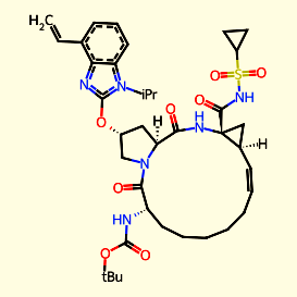 C=Cc1cccc2c1nc(O[C@@H]1C[C@H]3C(=O)N[C@]4(C(=O)NS(=O)(=O)C5CC5)C[C@H]4/C=C\CCCCC[C@H](NC(=O)OC(C)(C)C)C(=O)N3C1)n2C(C)C